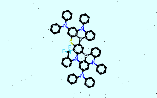 FC(F)(F)c1ccccc1N1c2cc3c(cc2B2c4ccccc4N(c4ccccc4)c4cc(N(c5ccccc5)c5ccccc5)cc1c42)B1c2ccccc2N(c2ccccc2)c2cc(N(c4ccccc4)c4ccccc4)cc(c21)S3